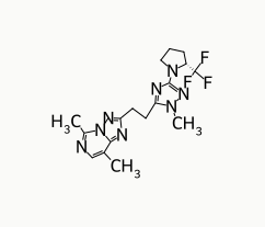 Cc1cnc(C)n2nc(CCc3nc(N4CCC[C@@H]4C(F)(F)F)nn3C)nc12